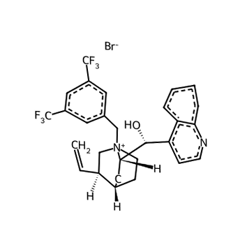 C=C[C@H]1C[N+]2(Cc3cc(C(F)(F)F)cc(C(F)(F)F)c3)CC[C@H]1C[C@H]2[C@H](O)c1ccnc2ccccc12.[Br-]